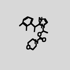 Cc1cccc(C(C)c2nccn2C(C)OC(=O)N2CCOCC2)c1C